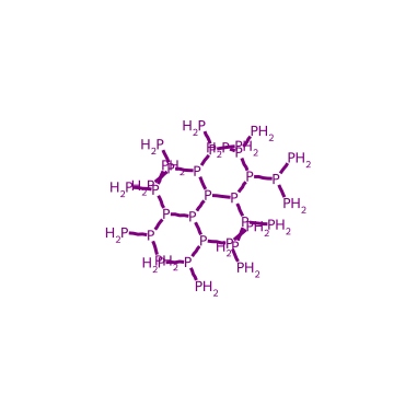 PP(P)P(P(P)P)P(P(P)P)P(P(P(P)P)P(P)P)P(P(P(P)P)P(P)P)P(P(P)P)P(P)P